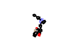 c1ccc(-c2ccc(-c3nc(-c4ccc(-c5ccc6c(c5)C5(c7ccccc7Sc7ccccc75)c5ccccc5-6)cc4)c4ccccc4n3)cc2)cc1